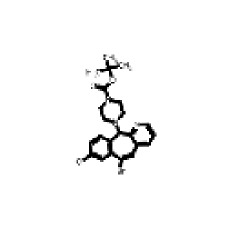 CC(C)(C)OC(=O)N1CCN(C2c3ccc(Cl)cc3C(Br)=Cc3cccnc32)CC1